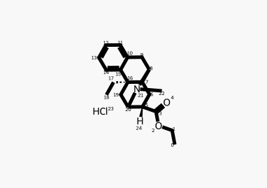 CCOC(=O)[C@H]1CC2C3Cc4ccccc4[C@]2(CC)CC1N3C.Cl